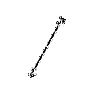 CC1CC(=O)N(CCC(=O)NCCOCCOCCOCCOCCOCCOCCOCCOCCOCCOCCOCCNC(=O)CCN2C(=O)CC(C)C2=O)C1=O